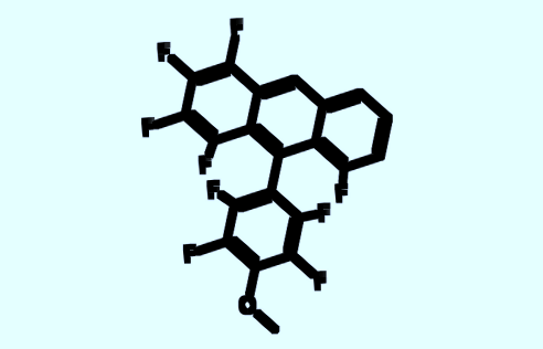 COc1c(F)c(F)c(-c2c3c(F)cccc3cc3c(F)c(F)c(F)c(F)c23)c(F)c1F